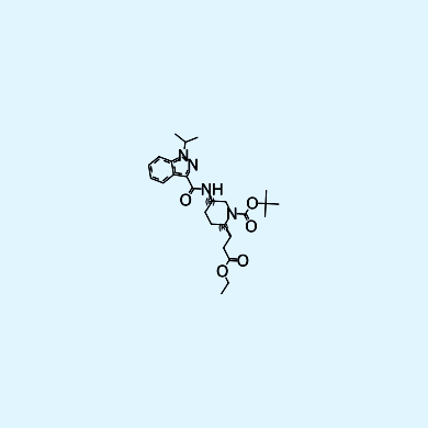 CCOC(=O)CC[C@H]1CC[C@@H](NC(=O)c2nn(C(C)C)c3ccccc23)CN1C(=O)OC(C)(C)C